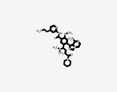 CCCc1ccnc(NC(=O)c2cc(C(/C=C/C(=O)N3CCCCC3)N(C)C)c(-c3ncn4ccnc(N)c34)cc2OC)c1